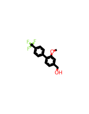 COc1cc(CO)ccc1-c1ccc(C(F)(F)F)cc1